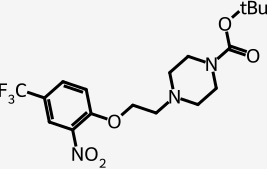 CC(C)(C)OC(=O)N1CCN(CCOc2ccc(C(F)(F)F)cc2[N+](=O)[O-])CC1